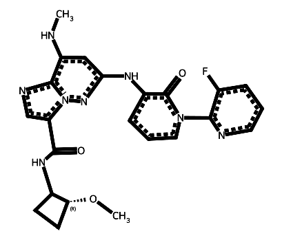 CNc1cc(Nc2cccn(-c3ncccc3F)c2=O)nn2c(C(=O)NC3CC[C@H]3OC)cnc12